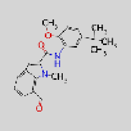 COc1ccc(C(C)(C)C)cc1NC(=O)c1cc2cccc(C=O)c2n1C